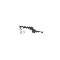 C1CO1.CCCCCCCCCCCCCCCCCCO